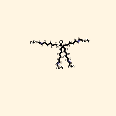 CCC/C=C/CCCCCSC(=O)C(CCCCC/C=C/CCC)(CCCCC/C=C/CCC)CCCCC/C=C/CCC